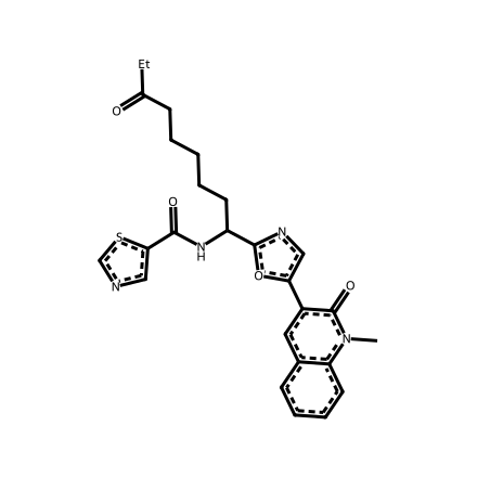 CCC(=O)CCCCCC(NC(=O)c1cncs1)c1ncc(-c2cc3ccccc3n(C)c2=O)o1